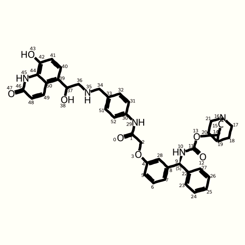 O=C(COc1cccc([C@@H](NC(=O)OC2CN3CCC2CC3)c2ccccc2)c1)Nc1ccc(CNCC(O)c2ccc(O)c3[nH]c(=O)ccc23)cc1